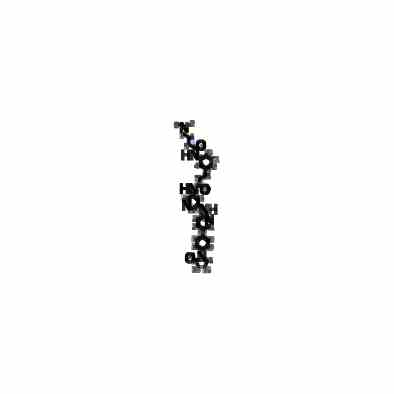 CN(C)C/C=C/C(=O)Nc1cccc(CCC(=O)Nc2cncc(Nc3ccc(-c4ccc(N5CCCC5=O)cc4)cn3)c2)c1